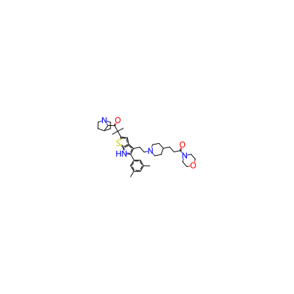 Cc1cc(C)cc(-c2[nH]c3sc(C(C)(C)C(=O)C4C5CCN4CC5)cc3c2CCN2CCC(CCC(=O)N3CCOCC3)CC2)c1